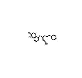 O=C1CCc2c(cccc2OC(CCCc2ccccc2)=NOS)N1